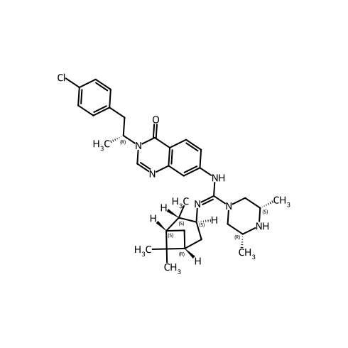 C[C@@H]1[C@@H](N=C(Nc2ccc3c(=O)n([C@H](C)Cc4ccc(Cl)cc4)cnc3c2)N2C[C@@H](C)N[C@@H](C)C2)C[C@H]2C[C@@H]1C2(C)C